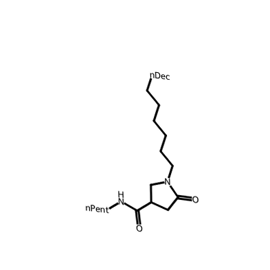 CCCCCCCCCCCCCCCCN1CC(C(=O)NCCCCC)CC1=O